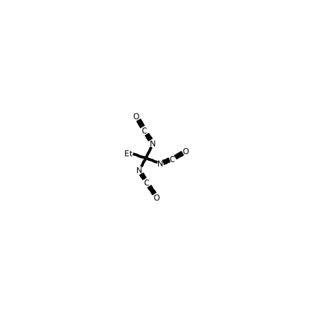 CCC(N=C=O)(N=C=O)N=C=O